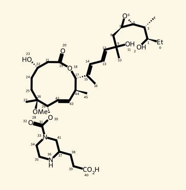 CC[C@@H](O)[C@@H](C)[C@H]1O[C@@H]1CC(C)(O)/C=C/C=C(\C)[C@H]1OC(=O)C[C@@H](O)CC[C@](C)(OC)[C@@H](OC(=O)N2CCNC(CCC(=O)O)C2)/C=C/[C@@H]1C